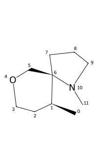 C[C@H]1CCOC[C@]12CCCN2C